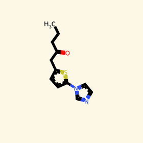 CCCC(=O)Cc1ccc(-n2ccnc2)s1